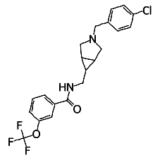 O=C(NCC1C2CN(Cc3ccc(Cl)cc3)CC12)c1cccc(OC(F)(F)F)c1